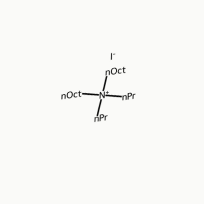 CCCCCCCC[N+](CCC)(CCC)CCCCCCCC.[I-]